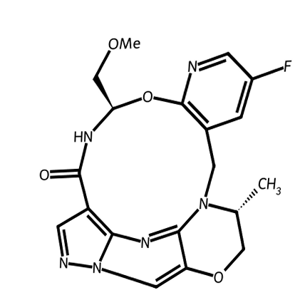 COC[C@@H]1NC(=O)c2cnn3cc4c(nc23)N(Cc2cc(F)cnc2O1)[C@H](C)CO4